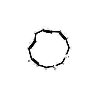 [C]1=C/C/C=C/C=C\CCCCC\C=C/1